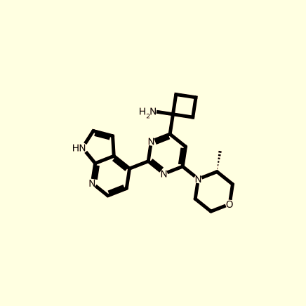 C[C@@H]1COCCN1c1cc(C2(N)CCC2)nc(-c2ccnc3[nH]ccc23)n1